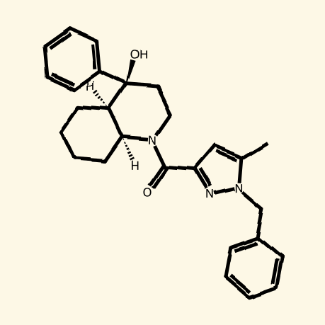 Cc1cc(C(=O)N2CC[C@@](O)(c3ccccc3)[C@@H]3CCCC[C@@H]32)nn1Cc1ccccc1